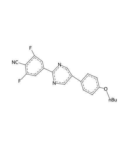 CCCCOc1ccc(-c2cnc(-c3cc(F)c(C#N)c(F)c3)nc2)cc1